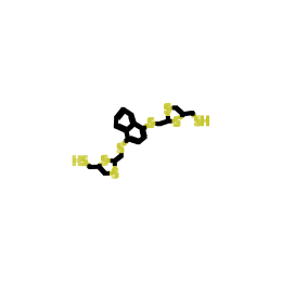 SCC1CSC(CSc2ccc(SCC3SCC(CS)S3)c3ccccc23)S1